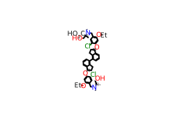 CCOc1cc(O[C@H]2CCc3c(-c4cccc5c4CC[C@@H]5Oc4cc(OCC)c(CN(C)[C@@](C)(CO)C(=O)O)cc4Cl)cccc32)c(Cl)cc1CN(C)[C@@H](C)CO